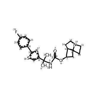 CC(C)(NC(=O)OC1CC23CCN2CCC13)c1csc(-c2ccc(F)cc2)n1